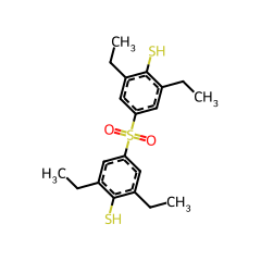 CCc1cc(S(=O)(=O)c2cc(CC)c(S)c(CC)c2)cc(CC)c1S